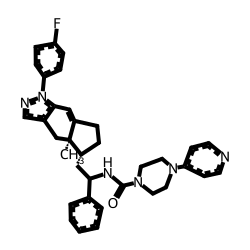 C[C@]12Cc3cnn(-c4ccc(F)cc4)c3C=C1CC[C@@H]2CC(NC(=O)N1CCN(c2ccncc2)CC1)c1ccccc1